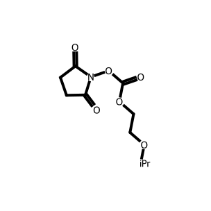 CC(C)OCCOC(=O)ON1C(=O)CCC1=O